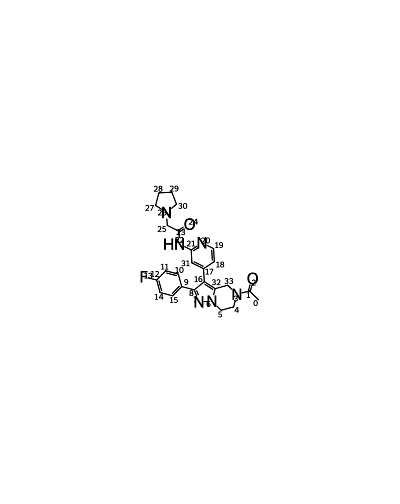 CC(=O)N1CCn2nc(-c3ccc(F)cc3)c(-c3ccnc(NC(=O)CN4CCCC4)c3)c2C1